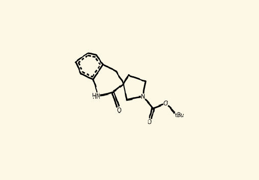 CC(C)(C)OC(=O)N1CCC2(Cc3ccccc3NC2=O)C1